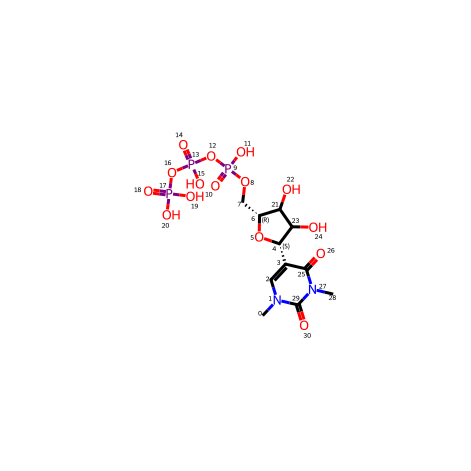 Cn1cc([C@@H]2O[C@H](COP(=O)(O)OP(=O)(O)OP(=O)(O)O)C(O)C2O)c(=O)n(C)c1=O